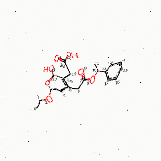 CCOCCC(CC(=O)OC(C)c1ccccc1)=C(CC(=O)O)C(=O)O